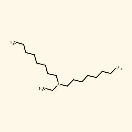 CCCCCCC[CH2][Al]([CH2]C)[CH2]CCCCCCC